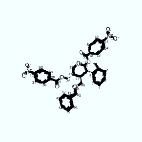 Cc1ccccc1[C@H]1C(OC(=O)c2ccc([N+](=O)[O-])cc2)OC[C@@H](COC(=O)c2ccc([N+](=O)[O-])cc2)[C@@H]1COCc1ccccc1